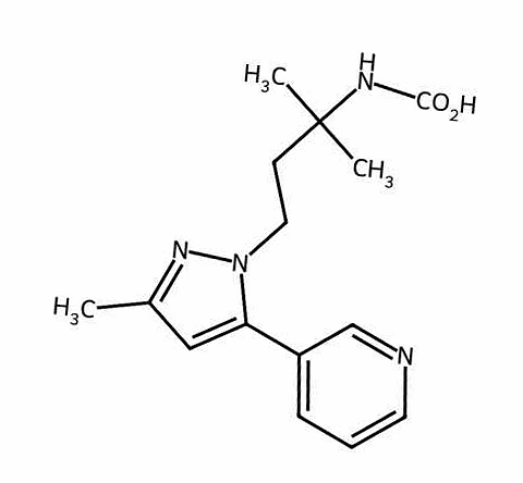 Cc1cc(-c2cccnc2)n(CCC(C)(C)NC(=O)O)n1